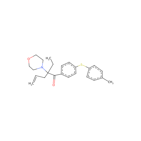 C=CCC(CC)(C(=O)c1ccc(Sc2ccc(C)cc2)cc1)N1CCOCC1